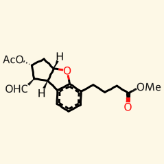 COC(=O)CCCc1cccc2c1O[C@H]1C[C@@H](OC(C)=O)[C@H](C=O)[C@@H]21